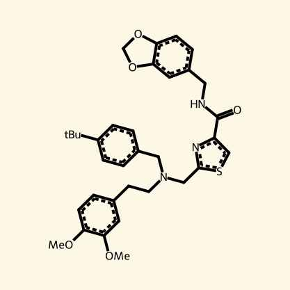 COc1ccc(CCN(Cc2ccc(C(C)(C)C)cc2)Cc2nc(C(=O)NCc3ccc4c(c3)OCO4)cs2)cc1OC